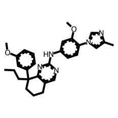 CCCC1(c2cccc(OC)c2)CCCc2cnc(Nc3ccc(-n4cnc(C)c4)c(OC)c3)nc21